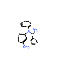 NCC(c1ccccc1)N(c1ccccc1)c1cccc(N)c1